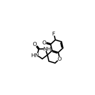 O=C1NCC2(CCOC3=C2C(=O)C(F)C=C3)N1